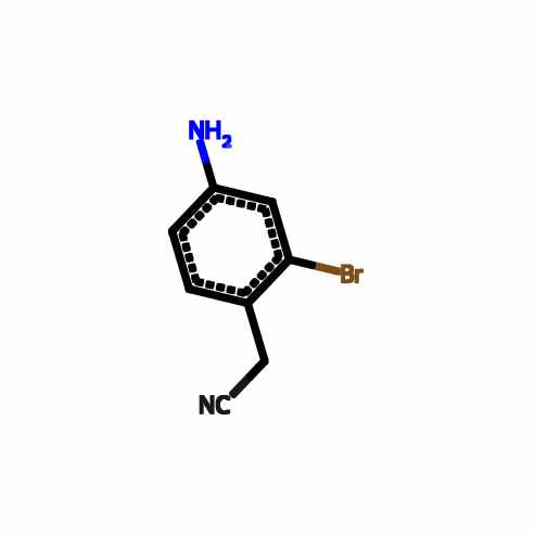 N#CCc1ccc(N)cc1Br